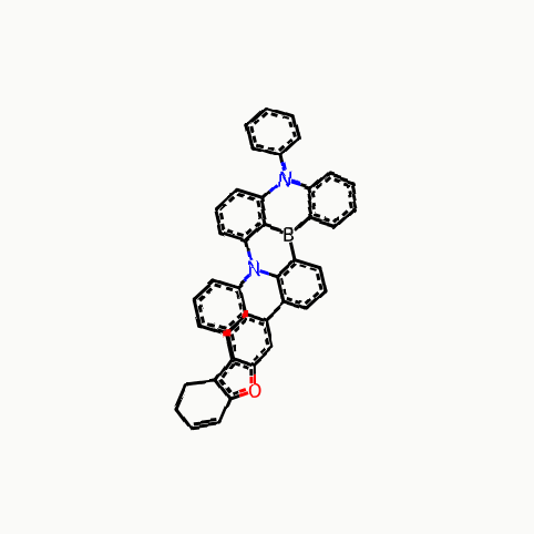 C1=Cc2oc3cc(-c4cccc5c4N(c4ccccc4)c4cccc6c4B5c4ccccc4N6c4ccccc4)ccc3c2CC1